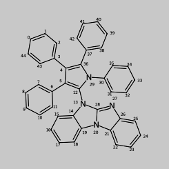 c1ccc(-c2c(-c3ccccc3)c(-n3c4ccccc4n4c5ccccc5nc34)n(-c3ccccc3)c2-c2ccccc2)cc1